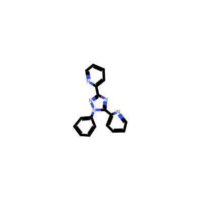 c1ccc(-n2nc(-c3ccccn3)nc2-c2ccccn2)cc1